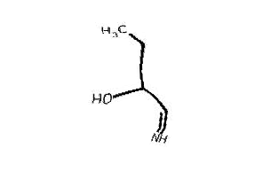 CCC(O)C=N